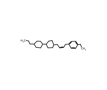 CCCC1CCC(C2CCC(C/C=C\Cc3ccc(CC)cc3)CC2)CC1